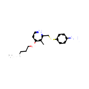 COCCCOc1ccnc(CSc2ccc(N)cc2)c1C